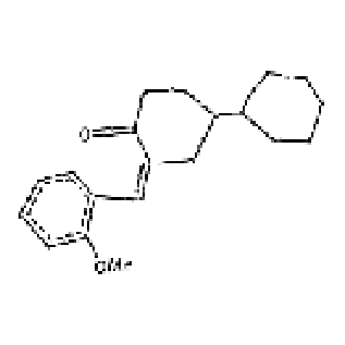 COc1ccccc1C=C1CC(C2CCCCC2)CCC1=O